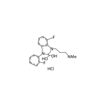 CNCCCN1c2c(F)cccc2N(c2ccccc2F)S1(O)O.Cl